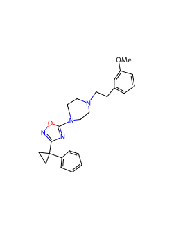 COc1cccc(CCN2CCN(c3nc(C4(c5ccccc5)CC4)no3)CC2)c1